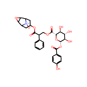 C[N+]1([O-])C2CC(OC(=O)C(COC(=O)[C@H]3O[C@@H](OC(=O)c4ccc(O)cc4)[C@H](O)[C@@H](O)[C@@H]3O)c3ccccc3)CC1C1OC12